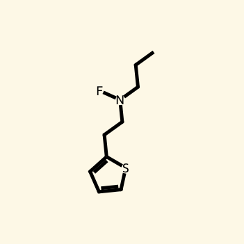 CCCN(F)CCc1cccs1